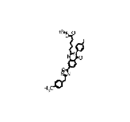 Cc1ccc(Cc2noc(-c3ccc4c(=O)n(-c5ccc(F)cc5)c(CCCCC(=O)OC(C)(C)C)nc4c3)n2)cc1